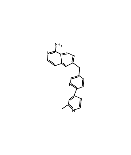 Cc1cc(-c2ccc(Cc3ccc4c(N)nccc4c3)cn2)ccn1